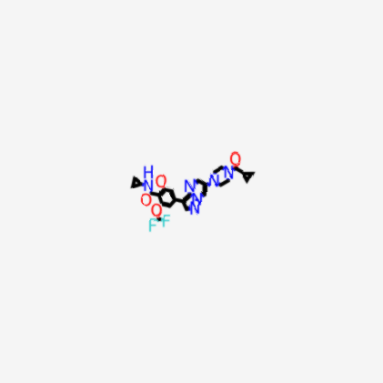 COc1cc(-c2cnn3cc(N4CCN(C(=O)C5CC5)CC4)cnc23)cc(OC(F)F)c1C(=O)NC1CC1